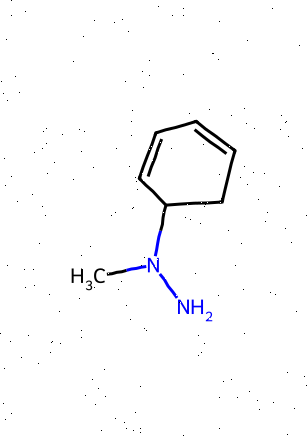 CN(N)C1C=CC=CC1